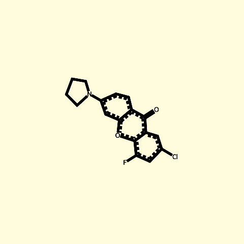 O=c1c2ccc(N3CCCC3)cc2oc2c(F)cc(Cl)cc12